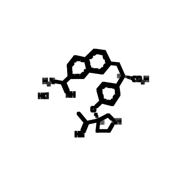 CC(=N)[C@]1(Oc2ccc([C@H](Cc3ccc4ccc(C(=N)N)cc4c3)C(=O)O)cc2)CCNC1.Cl